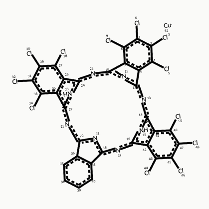 Clc1c(Cl)c(Cl)c2c(c1Cl)-c1nc-2nc2[nH]c(nc3nc(nc4[nH]c(n1)c1c(Cl)c(Cl)c(Cl)c(Cl)c41)-c1ccccc1-3)c1c(Cl)c(Cl)c(Cl)c(Cl)c21.[Cu]